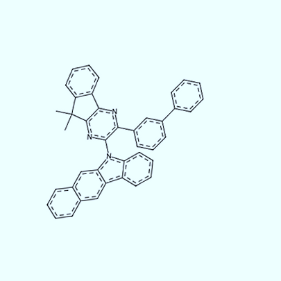 CC1(C)c2ccccc2-c2nc(-c3cccc(-c4ccccc4)c3)c(-n3c4ccccc4c4cc5ccccc5cc43)nc21